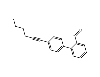 CCCCC#Cc1ccc(-c2ccccc2[C]=O)cc1